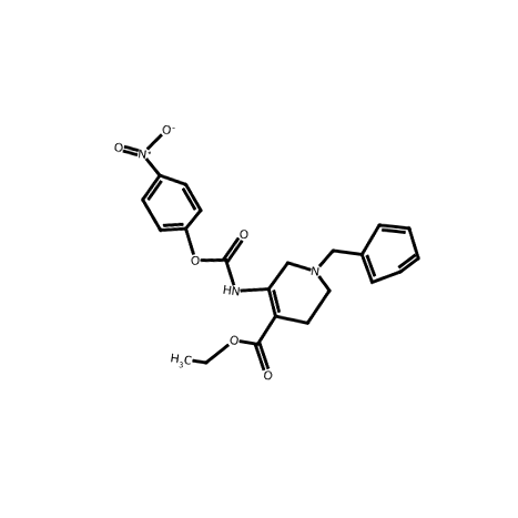 CCOC(=O)C1=C(NC(=O)Oc2ccc([N+](=O)[O-])cc2)CN(Cc2ccccc2)CC1